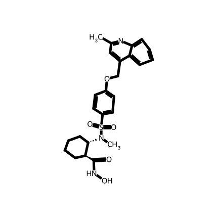 Cc1cc(COc2ccc(S(=O)(=O)N(C)[C@H]3CCCC[C@@H]3C(=O)NO)cc2)c2ccccc2n1